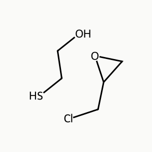 ClCC1CO1.OCCS